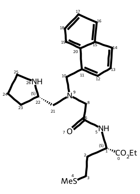 CCOC(=O)[C@H](CCSC)NC(=O)CN(Cc1cccc2ccccc12)C[C@@H]1CCCN1